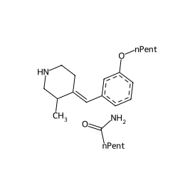 CCCCCC(N)=O.CCCCCOc1cccc(C=C2CCNCC2C)c1